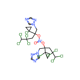 O=[N+](OC(Cn1cncn1)(CC(Cl)(Cl)C(Cl)Cl)C1(Cl)CC1)OC(Cn1cncn1)(CC(Cl)(Cl)C(Cl)Cl)C1(Cl)CC1